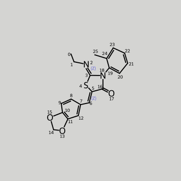 CC/N=C1\S/C(=C\c2ccc3c(c2)OCO3)C(=O)N1c1ccccc1C